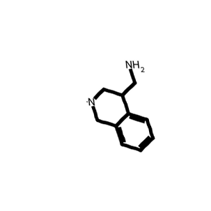 NCC1C[N]Cc2ccccc21